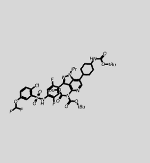 CC(C)n1nc(-c2cc(F)c(NS(=O)(=O)c3cc(OC(F)F)ccc3Cl)cc2F)c2c(N(C(=O)OC(C)(C)C)C(=O)OC(C)(C)C)ncc(C3CCC(NC(=O)OC(C)(C)C)CC3)c21